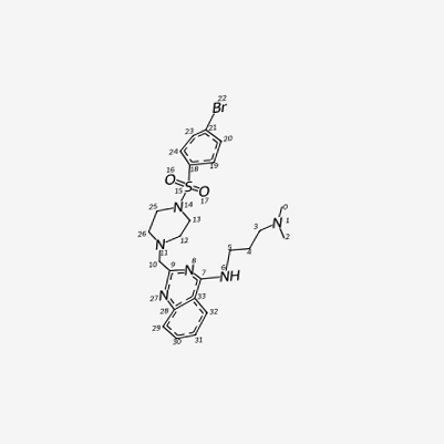 CN(C)CCCNc1nc(CN2CCN(S(=O)(=O)c3ccc(Br)cc3)CC2)nc2ccccc12